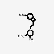 CCOC(=O)C1CN(CCC2=Cc3ccc(OC)cc32)CCC1O